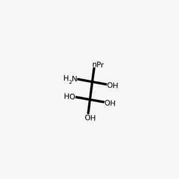 CCCC(N)(O)C(O)(O)O